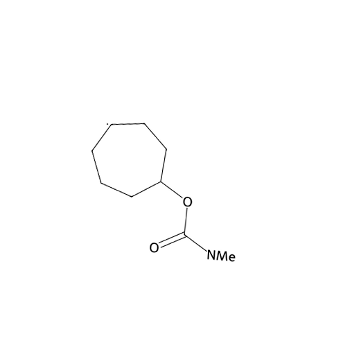 CNC(=O)OC1CC[CH]CCC1